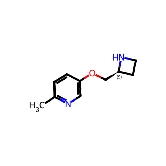 Cc1ccc(OC[C@@H]2CCN2)cn1